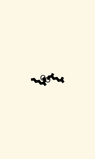 CCCCCC(C)C(=O)OCC(C)CCCC(C)C